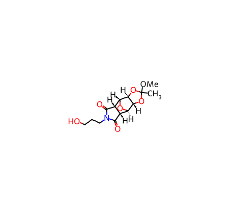 COC1(C)O[C@H]2[C@H](O1)[C@@H]1O[C@@H]2[C@H]2C(=O)N(CCCO)C(=O)[C@@H]12